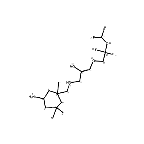 CC1(C)CC(N)CC(C)(CNCC(O)COCC(F)(F)OC(F)F)C1